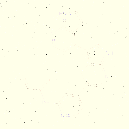 C=CC(=O)Nc1cc(-c2cnc3[nH]cc(-c4ccnc5[nH]ccc45)c3c2)ccn1